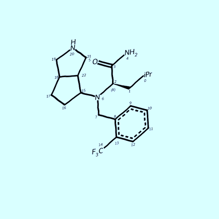 CC(C)C[C@H](C(N)=O)N(Cc1ccccc1C(F)(F)F)C1CCC2CNCC21